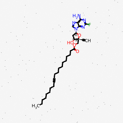 C#C[C@]1(COC(=O)CCCCCCCCCC#CCCCCCCCC)O[C@@H](n2cnc3c(N)nc(F)nc32)C[C@@H]1O